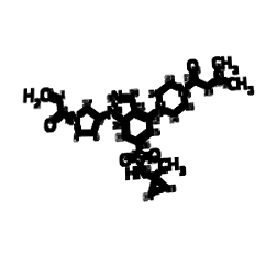 C=CC(=O)N1CCC(n2ncc3c(N4CCN(C(=O)CN(C)C)CC4)cc(S(=O)(=O)NC4(C)CC4)cc32)C1